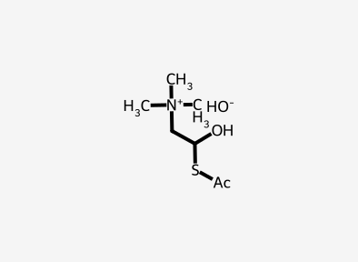 CC(=O)SC(O)C[N+](C)(C)C.[OH-]